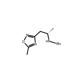 Cc1nc(C[C@H](C)NC(C)(C)C)no1